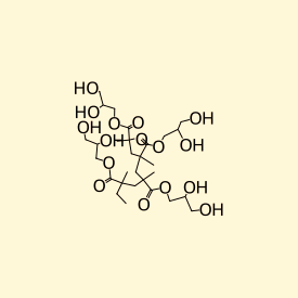 CCC(C)(CC(C)(CC(C)(CC(C)(C)C(=O)OCC(O)CO)C(=O)OCC(O)CO)C(=O)OCC(O)CO)C(=O)OCC(O)CO